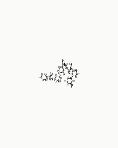 O=C(Nc1cncc(-c2ccc3[nH]nc(-c4nc5c(-c6cccc(F)c6)ccnc5[nH]4)c3c2F)c1)c1ccccc1